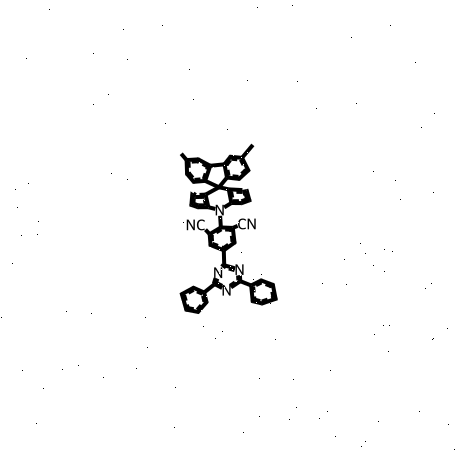 Cc1ccc2c(c1)-c1cc(C)ccc1C21c2ccccc2N(c2c(C#N)cc(-c3nc(-c4ccccc4)nc(-c4ccccc4)n3)cc2C#N)c2ccccc21